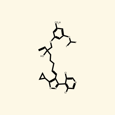 C=CC(O)(CCC/C=C/c1c(-c2c(Cl)cncc2Cl)noc1C1CC1)COc1cc(OC(F)F)cc(C(=O)O)c1